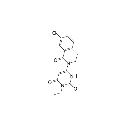 CCn1c(=O)cc(N2CCc3ccc(Cl)cc3C2=O)[nH]c1=O